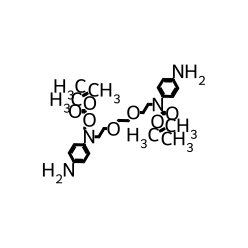 CC(C)(C)OC(=O)OCN(CCOCCOCCN(C(=O)OC(C)(C)C)c1ccc(N)cc1)c1ccc(N)cc1